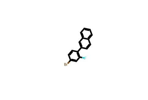 Fc1cc(Br)ccc1-c1ccc2ccccc2c1